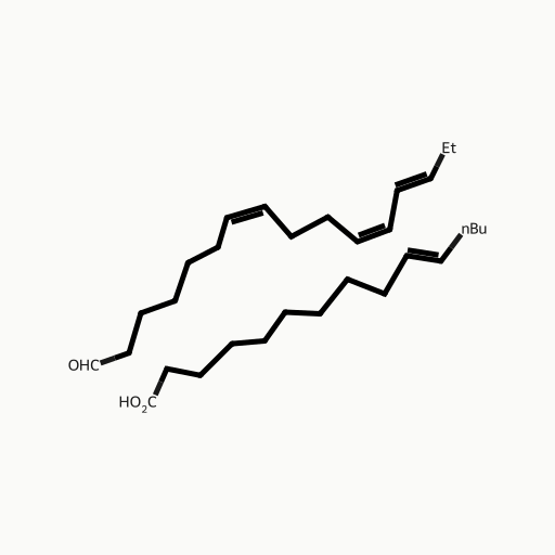 CC/C=C/C=C\CC/C=C\CCCCCC=O.CCCC/C=C/CCCCCCCCC(=O)O